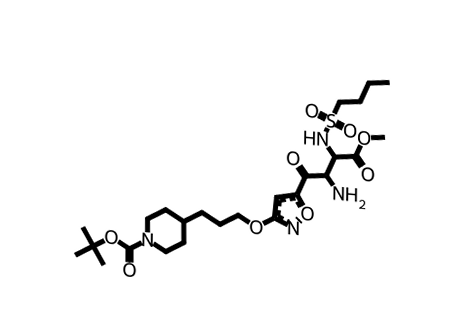 CCCCS(=O)(=O)NC(C(=O)OC)C(N)C(=O)c1cc(OCCCC2CCN(C(=O)OC(C)(C)C)CC2)no1